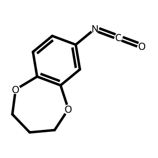 O=C=Nc1ccc2c(c1)OCCCO2